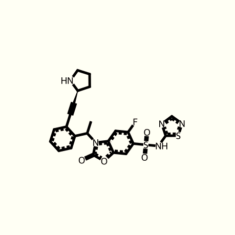 CC(c1ccccc1C#C[C@@H]1CCCN1)n1c(=O)oc2cc(S(=O)(=O)Nc3ncns3)c(F)cc21